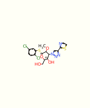 COC1C(n2cc(-c3nccs3)nn2)[C@@H](O)C(CO)O[C@@H]1Sc1cc(Cl)ccc1Cl